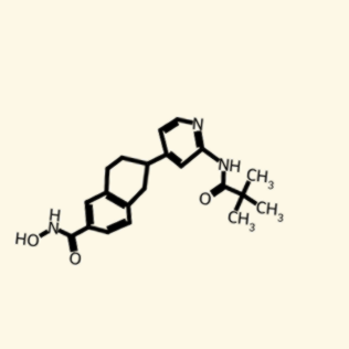 CC(C)(C)C(=O)Nc1cc(C2CCc3cc(C(=O)NO)ccc3C2)ccn1